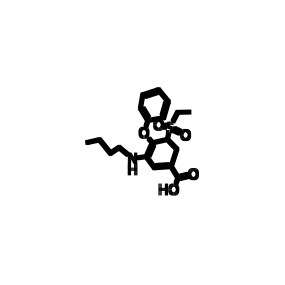 CCCCNC1=C(Oc2ccccc2)C(S(=O)(=O)CC)CC(C(=O)O)=C1